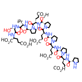 CC(C)[C@H](NC(=O)[C@@H]1CCCN1C(=O)[C@H](CCC(=O)O)NC(=O)[C@@H]1CCCN1C(=O)[C@H](CCC(=O)O)NC(=O)[C@@H]1CCCN1C(=O)[C@H](CCC(=O)O)NC(=O)[C@@H]1CCCN1C(=O)[C@H](CCC(=O)O)NC(=O)[C@@H]1CCCN1)C(=O)N[C@@H](CO)C(=O)N[C@@H](CCC(=O)O)C(=O)O